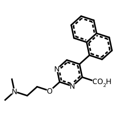 CN(C)CCOc1ncc(-c2cccc3ccccc23)c(C(=O)O)n1